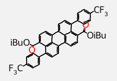 CC(C)COC(=O)c1ccc2c3ccc(-c4ccc(C(F)(F)F)cc4)c4c(C(=O)OCC(C)C)ccc(c5ccc(-c6ccc(C(F)(F)F)cc6)c1c25)c43